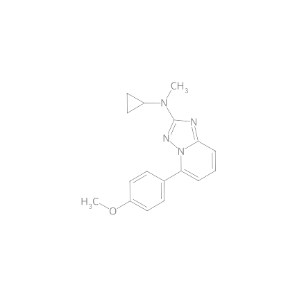 COc1ccc(-c2cccc3nc(N(C)C4CC4)nn23)cc1